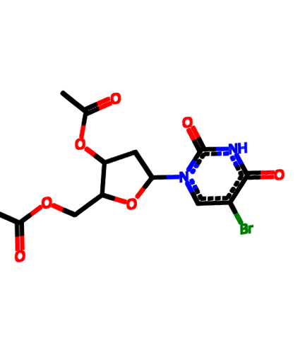 CC(=O)OCC1OC(n2cc(Br)c(=O)[nH]c2=O)CC1OC(C)=O